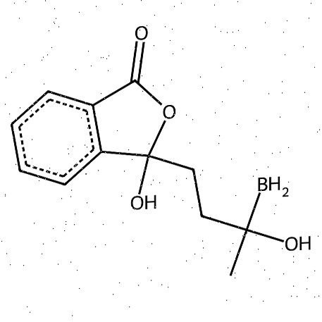 BC(C)(O)CCC1(O)OC(=O)c2ccccc21